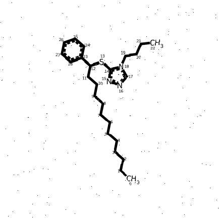 CCCCCCCCCCCCC(Sc1nncn1CCCC)c1ccccc1